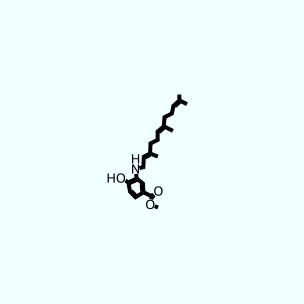 COC(=O)c1ccc(O)c(NC/C=C(\C)CC/C=C(\C)CCC=C(C)C)c1